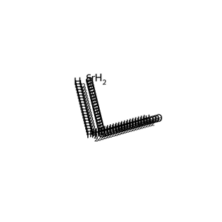 O.O.O.O.O.O.O.O.O.O.O.O.O.O.O.O.O.O.O.O.O.O.O.O.O.O.O.O.O.O.O.O.O.O.O.O.O.O.O.O.[SrH2]